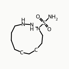 NS(=O)(=O)N1CCCCCCCCCNN1